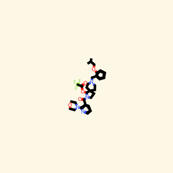 CC(C)COc1ccccc1CN1CCC2(CC1)CCN(C(=O)c1cccnc1N1CCOCC1)C2OC(=O)C(F)(F)F